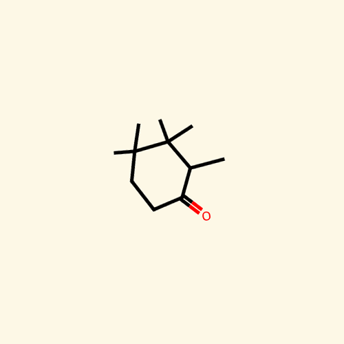 CC1C(=O)CCC(C)(C)C1(C)C